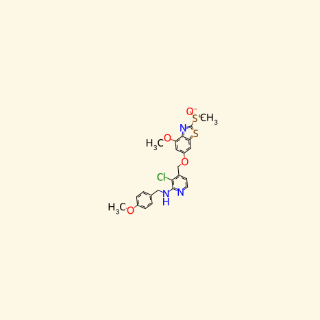 COc1ccc(CNc2nccc(COc3cc(OC)c4nc([S+](C)[O-])sc4c3)c2Cl)cc1